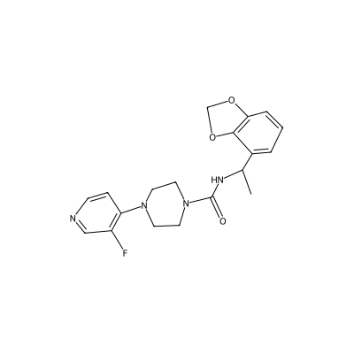 CC(NC(=O)N1CCN(c2ccncc2F)CC1)c1cccc2c1OCO2